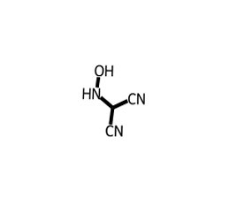 N#CC(C#N)NO